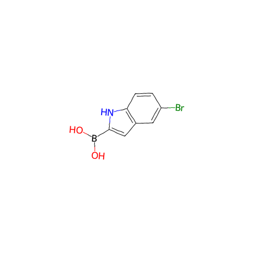 OB(O)c1cc2cc(Br)ccc2[nH]1